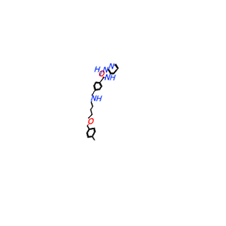 Cc1ccc(COCCCCCNCc2ccc(C(=O)Nc3cccnc3N)cc2)cc1